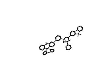 CC1(C)c2ccccc2-c2ccc(-c3cc(-c4cccc(-c5ccc6c(c5)Sc5ccccc5C65c6ccccc6-c6ccccc65)c4)nc(-c4ccccc4)n3)cc21